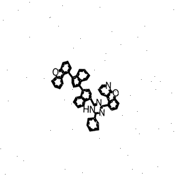 c1ccc(C2N=C(c3cccc4oc5ncccc5c34)N=C(c3ccc(-c4ccc(-c5cccc6oc7ccccc7c56)c5ccccc45)c4ccccc34)N2)cc1